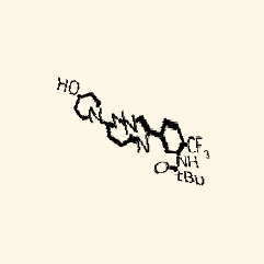 CC(C)(C)C(=O)Nc1cc(-c2cn3nc(N4CCC(O)CC4)ccc3n2)ccc1C(F)(F)F